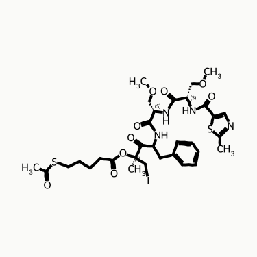 COC[C@H](NC(=O)c1cnc(C)s1)C(=O)N[C@@H](COC)C(=O)NC(Cc1ccccc1)C(=O)[C@@](C)(CI)OC(=O)CCCCSC(C)=O